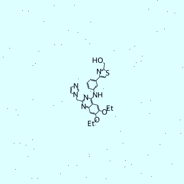 CCOc1cc2nc(Cn3ccnc3)nc(Nc3cccc(-c4csc(CO)n4)c3)c2cc1OCC